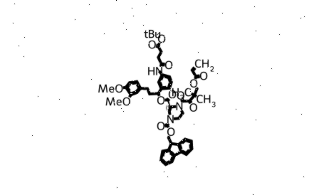 C=CC(=O)OCC(C)(C)C(=O)C(=O)N1CCN(C(=O)OCC2c3ccccc3-c3ccccc32)C[C@H]1C(=O)OC(CCc1ccc(OC)c(OC)c1)c1cccc(NC(=O)CCC(=O)OC(C)(C)C)c1